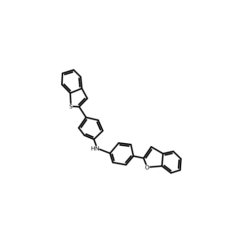 c1ccc2oc(-c3ccc(Nc4ccc(-c5cc6ccccc6s5)cc4)cc3)cc2c1